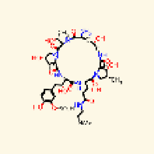 CNCCNC(=O)C[C@@H](O)[C@@H]1NC(=O)[C@H]([C@H](O)Cc2ccc(O)c(OS(=O)(=O)O)c2)NC(=O)[C@@H]2C[C@@H](O)CN2C(=O)C([C@@H](C)O)NC(=O)[C@@H](N)C[C@@H](O)CNC(=O)[C@@H]2[C@@H](O)[C@@H](C)CN2C1=O